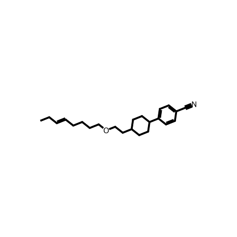 CC/C=C/CCCCOCCC1CCC(c2ccc(C#N)cc2)CC1